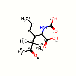 CCCC(C(NC(=O)O)C(=O)O)C(C)(C)C(C)=O